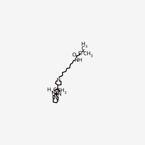 CC(C)OCC(=O)NCCCCCCCCCN1CCC(c2cnc(N3C4CCC3CN(C(C)C)C4)nc2)CC1